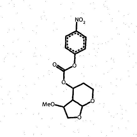 COC1COC2OCCC(OC(=O)Oc3ccc([N+](=O)[O-])cc3)C12